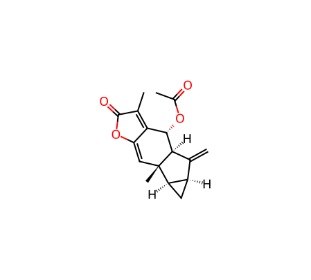 C=C1[C@H]2C[C@H]2[C@]2(C)C=C3OC(=O)C(C)=C3[C@H](OC(C)=O)[C@@H]12